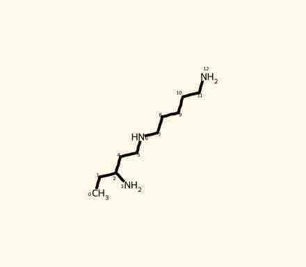 CCC(N)CCNCCCCCN